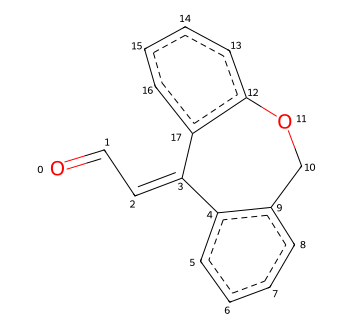 O=CC=C1c2ccccc2COc2ccccc21